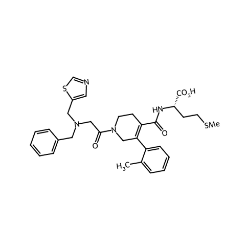 CSCC[C@H](NC(=O)C1=C(c2ccccc2C)CN(C(=O)CN(Cc2ccccc2)Cc2cncs2)CC1)C(=O)O